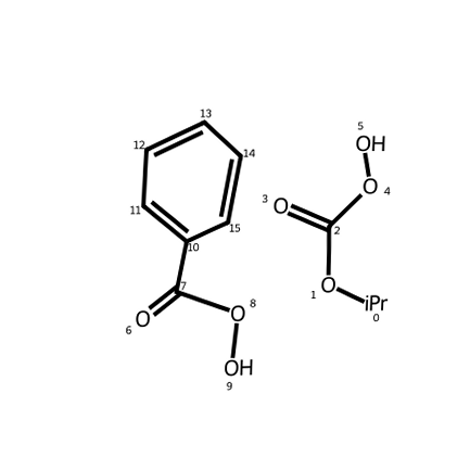 CC(C)OC(=O)OO.O=C(OO)c1ccccc1